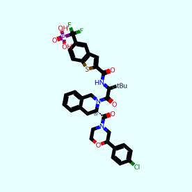 CC(C)(C)C(NC(=O)c1cc2cc(C(F)(F)P(=O)(O)O)ccc2s1)C(=O)N1Cc2ccccc2C[C@H]1C(=O)N1CCOC(c2ccc(Cl)cc2)C1